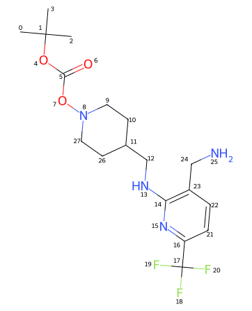 CC(C)(C)OC(=O)ON1CCC(CNc2nc(C(F)(F)F)ccc2CN)CC1